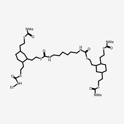 CCNC(=O)SCCC1CCC(CCSC(=O)NC)CC1CCSC(=O)NCCCCCCNC(=O)SCCC1CC(CCSC(=O)NC)CCC1CCSC(=O)NC